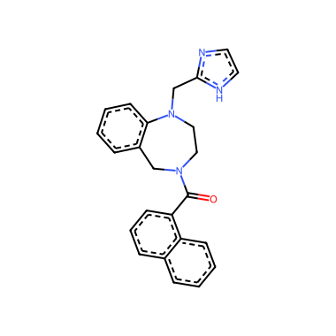 O=C(c1cccc2ccccc12)N1CCN(Cc2ncc[nH]2)c2ccccc2C1